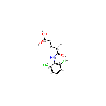 C[C@@H](CCC(=O)O)C(=O)Nc1c(Cl)cccc1Cl